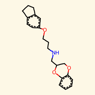 c1ccc2c(c1)OCC(CNCCCOc1ccc3c(c1)CCC3)O2